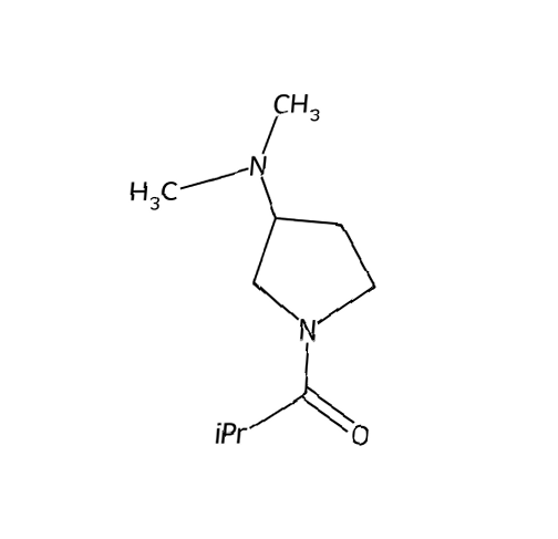 CC(C)C(=O)N1CCC(N(C)C)C1